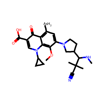 CNC(C1CCN(c2cc([AsH2])c3c(=O)c(C(=O)O)cn(C4CC4)c3c2OC)C1)C(C)(C)C#N